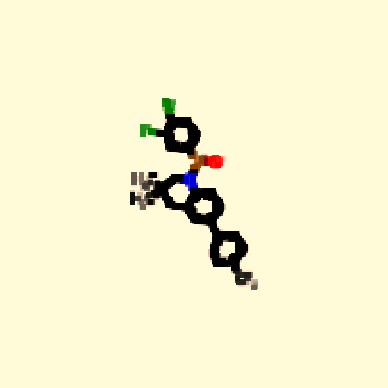 CC1(C)Cc2cc(-c3ccc(C(F)(F)F)cc3)ccc2N([S+]([O-])c2ccc(Br)c(F)c2)C1